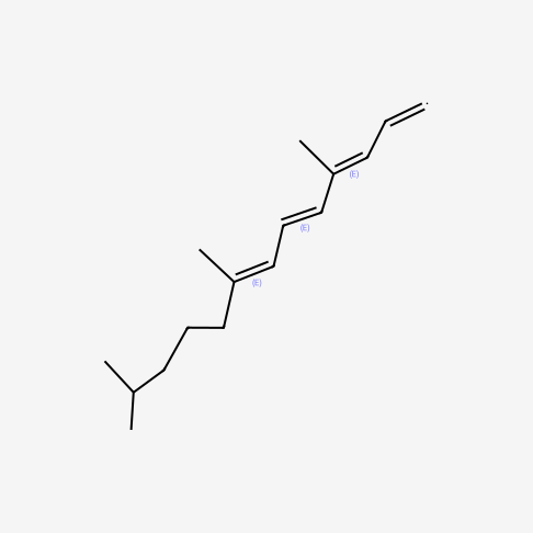 [CH]=C/C=C(C)/C=C/C=C(\C)CCCC(C)C